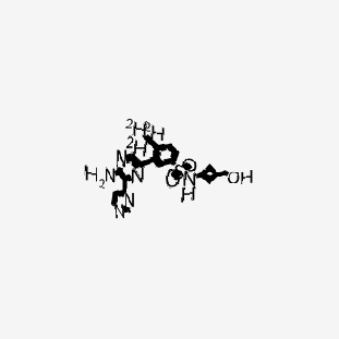 [2H]C([2H])([2H])c1ccc(S(=O)(=O)NC23CC(CO)(C2)C3)cc1-c1cnc(N)c(-c2ccncn2)n1